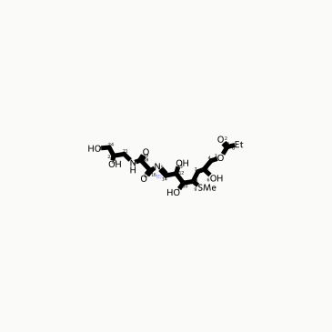 CCC(=O)OCC(O)CC(SC)C(O)C(O)/C=N/C(=O)C(=O)NCC(O)CO